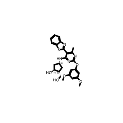 COc1cc(OC)cc(Oc2nc(C)c(-c3nc4ccccc4s3)c(N[C@@H]3C[C@H](CO)[C@@H](O)C3)n2)c1